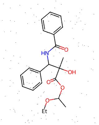 CCOC(C)OC(=O)C(C)(O)C(NC(=O)c1ccccc1)c1ccccc1